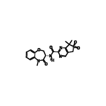 [2H]N(C(=O)c1ncc2c(n1)C(C)(C)S(=O)(=O)C2)[C@H]1COc2ccccc2N(C)C1=O